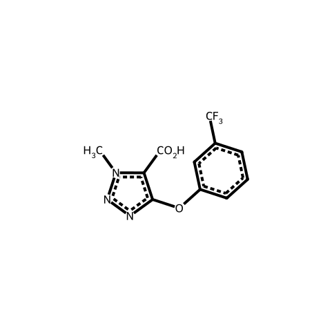 Cn1nnc(Oc2cccc(C(F)(F)F)c2)c1C(=O)O